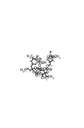 CCCC(C)(CC(COP(=O)(O)O)CC(C)NF)OP(=O)(O)OCCC(CC)(OP(=O)(O)OCC(CO)CC(C)NF)C(C)C